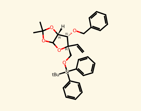 C=C[C@]1(CO[Si](c2ccccc2)(c2ccccc2)C(C)(C)C)OC2OC(C)(C)O[C@@H]2[C@@H]1OCc1ccccc1